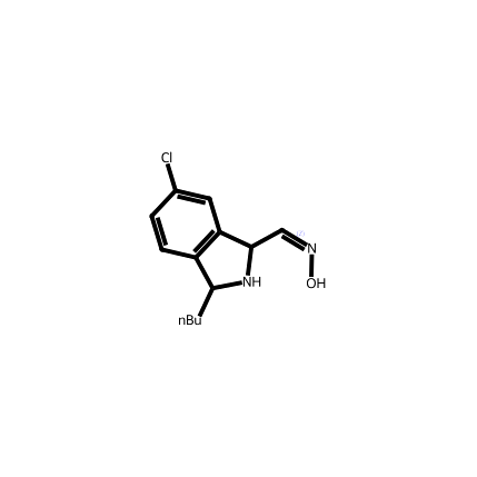 CCCCC1NC(/C=N\O)c2cc(Cl)ccc21